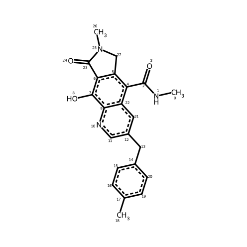 CNC(=O)c1c2c(c(O)c3ncc(Cc4ccc(C)cc4)cc13)C(=O)N(C)C2